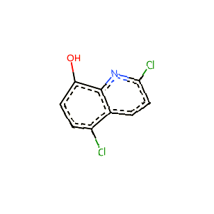 Oc1ccc(Cl)c2ccc(Cl)nc12